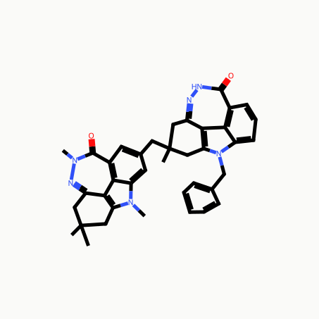 CN1N=C2CC(C)(C)Cc3c2c2c(cc(CC4(C)CC5=NNC(=O)c6cccc7c6c5c(n7Cc5ccccc5)C4)cc2n3C)C1=O